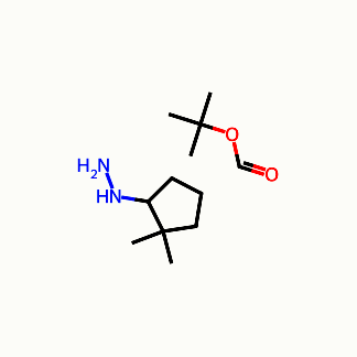 CC(C)(C)OC=O.CC1(C)CCCC1NN